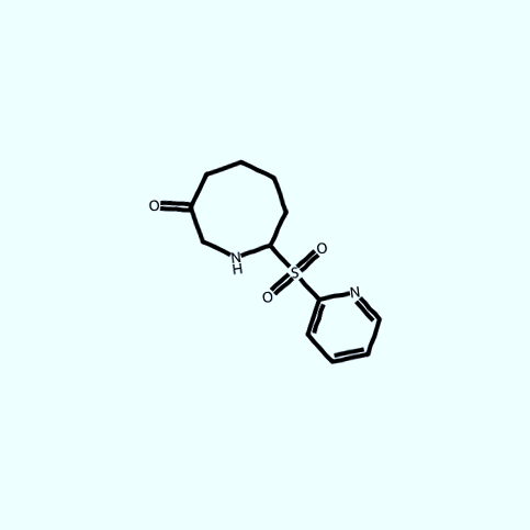 O=C1CCCCC(S(=O)(=O)c2ccccn2)NC1